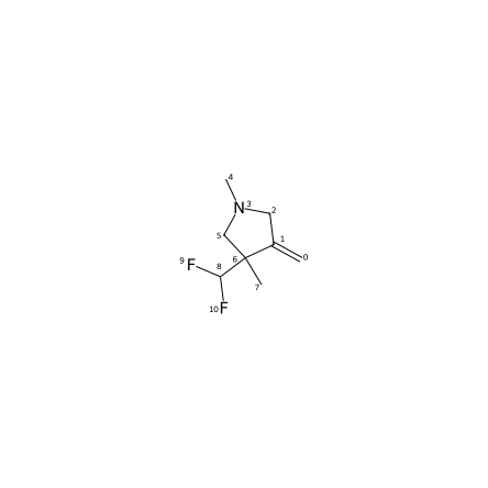 C=C1CN(C)CC1(C)C(F)F